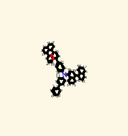 c1ccc(-c2ccc(N(c3ccc(-c4ccc(-c5cccc6cccc(-c7ccccc7)c56)cc4)cc3)c3ccc(-c4cccc5ccccc45)c4ccccc34)cc2)cc1